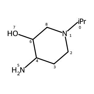 CC(C)N1CCC(N)C(O)C1